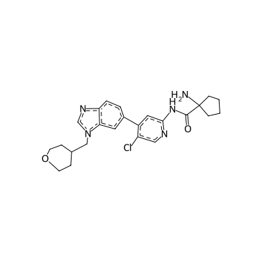 NC1(C(=O)Nc2cc(-c3ccc4ncn(CC5CCOCC5)c4c3)c(Cl)cn2)CCCC1